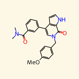 COc1ccc(Cn2cc(-c3cccc(C(=O)N(C)C)c3)c3cc[nH]c3c2=O)cc1